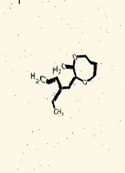 C=CC(=C/C)/C=C1/OCCCOC1=C